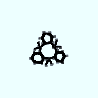 C[Si]1(C)c2ccccc2[Si](C)(C)c2ccccc2[Si](C)(C)c2ccccc21